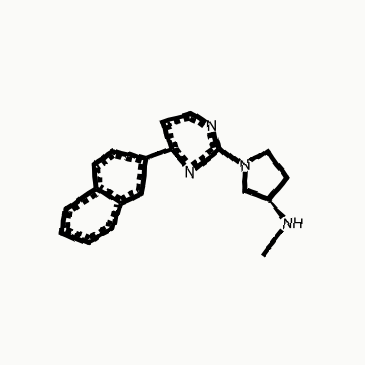 CN[C@@H]1CCN(c2nccc(-c3ccc4ccccc4c3)n2)C1